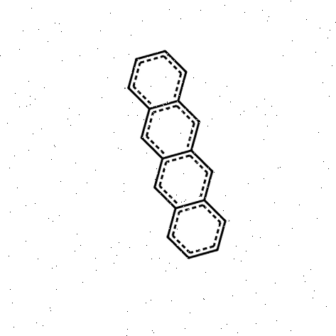 [c]1cccc2cc3cc4[c]cccc4cc3cc12